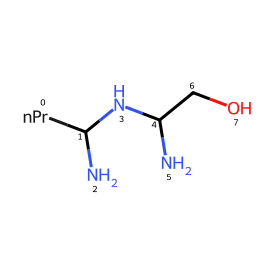 CCCC(N)NC(N)CO